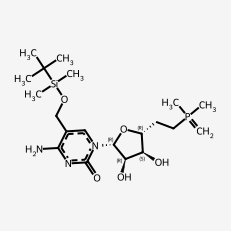 C=P(C)(C)CC[C@H]1O[C@@H](n2cc(CO[Si](C)(C)C(C)(C)C)c(N)nc2=O)[C@H](O)[C@@H]1O